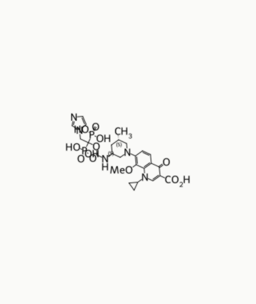 COc1c(N2C[C@@H](C)C[C@H](NC(=O)OC(Cn3ccnc3)(P(=O)(O)O)P(=O)(O)O)C2)ccc2c(=O)c(C(=O)O)cn(C3CC3)c12